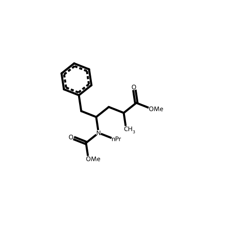 CCCN(C(=O)OC)C(Cc1ccccc1)CC(C)C(=O)OC